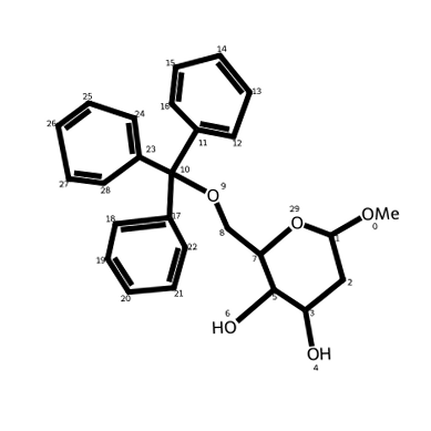 COC1CC(O)C(O)C(COC(c2ccccc2)(c2ccccc2)c2ccccc2)O1